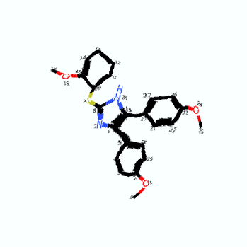 COc1ccc(-c2nc(Sc3ccccc3OC)[nH]c2-c2ccc(OC)cc2)cc1